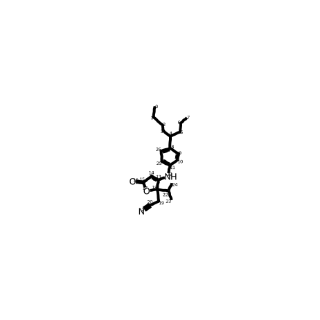 CCCCC(CCC)c1ccc(NC2=CC(=O)OC2(CC#N)C(C)C)cc1